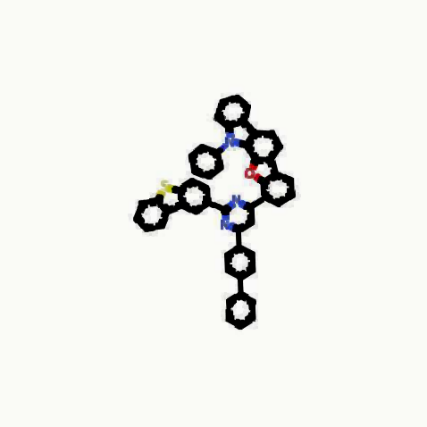 c1ccc(-c2ccc(-c3cc(-c4cccc5c4oc4c5ccc5c6ccccc6n(-c6ccccc6)c54)nc(-c4ccc5sc6ccccc6c5c4)n3)cc2)cc1